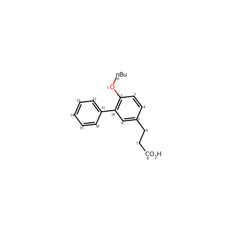 CCCCOc1ccc(CCC(=O)O)cc1-c1ccccc1